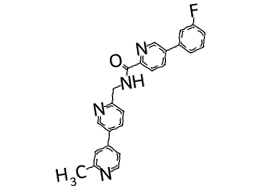 Cc1cc(-c2ccc(CNC(=O)c3ccc(-c4cccc(F)c4)cn3)nc2)ccn1